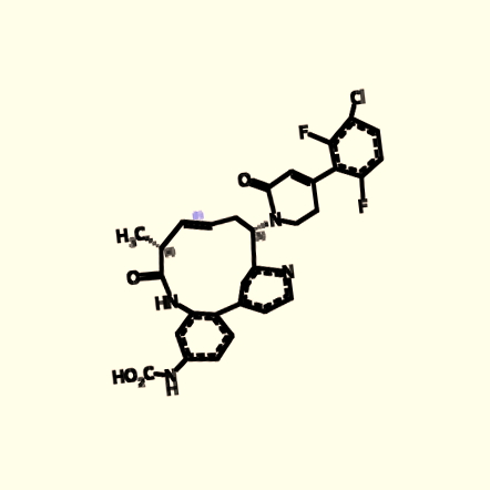 C[C@@H]1/C=C/C[C@H](N2CCC(c3c(F)ccc(Cl)c3F)=CC2=O)c2cc(ccn2)-c2ccc(NC(=O)O)cc2NC1=O